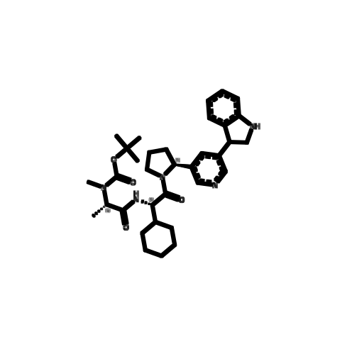 C[C@@H](C(=O)N[C@H](C(=O)N1CCC[C@H]1c1cncc(C2CNc3ccccc32)c1)C1CCCCC1)N(C)C(=O)OC(C)(C)C